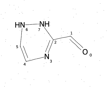 O=CC1=NC=CNN1